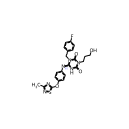 Cc1nsc(Oc2ccc(/N=c3\[nH]c(=O)n(CCCO)c(=O)n3Cc3ccc(F)cc3)cc2)n1